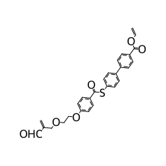 C=COC(=O)c1ccc(-c2ccc(SC(=O)c3ccc(OCCOCC(=C)C=O)cc3)cc2)cc1